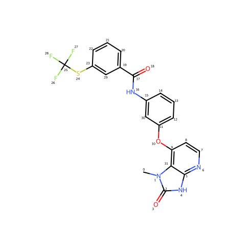 Cn1c(=O)[nH]c2nccc(Oc3cccc(NC(=O)c4cccc(SC(F)(F)F)c4)c3)c21